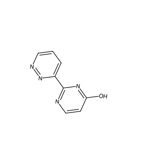 Oc1ccnc(-c2cccnn2)n1